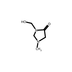 CN1CC(=O)N(CO)C1